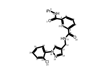 CC(C)NC(=O)c1cccc(C(=O)NCc2cnn(-c3ccccc3Cl)c2)n1